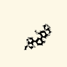 CCn1cnc2c(-c3ccc(F)c(-c4cc5c(cc4OC)-n4cnnc4CO5)c3)cnnc21